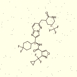 O=C(N[C@H](c1cn2nc(CC3C[C@@H](C(F)(F)F)CNC3=O)ccc2n1)C1CCC(F)(F)CC1)c1conc1C(F)(F)C1CC1